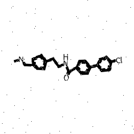 C[N]Cc1ccc(CCNC(=O)c2ccc(-c3ccc(Cl)cc3)cc2)cc1